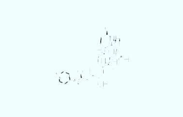 CC1C[C@H]2NC(=O)C=C[C@]2(C)[C@H]2CC[C@]3(C)[C@@H]([C@H](C)CCC(=O)Nc4ccncc4)CC[C@H]3[C@H]12